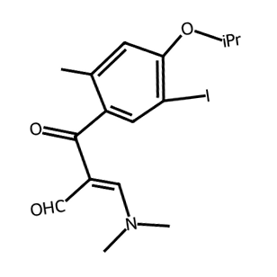 Cc1cc(OC(C)C)c(I)cc1C(=O)C(C=O)=CN(C)C